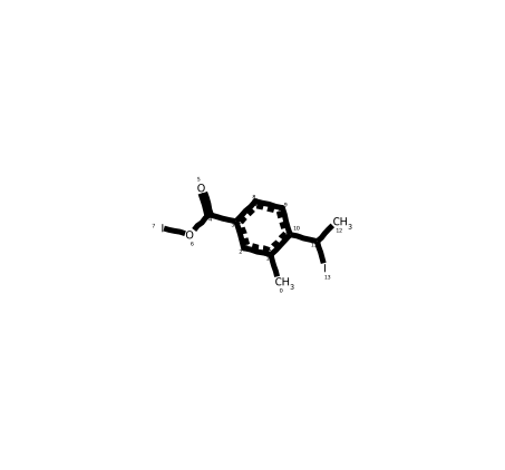 Cc1cc(C(=O)OI)ccc1C(C)I